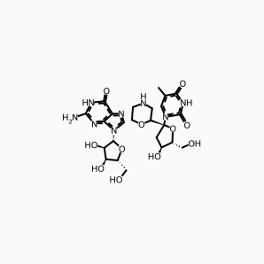 Cc1cn([C@@]2(C3CNCCO3)C[C@H](O)[C@@H](CO)O2)c(=O)[nH]c1=O.Nc1nc2c(ncn2[C@@H]2O[C@H](CO)[C@@H](O)[C@H]2O)c(=O)[nH]1